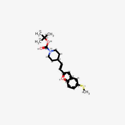 CSc1ccc2oc(C=CC3CCN(C(=O)OC(C)(C)C)CC3)cc2c1